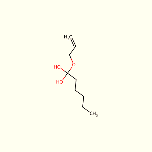 C=CCOC(O)(O)CCCCC